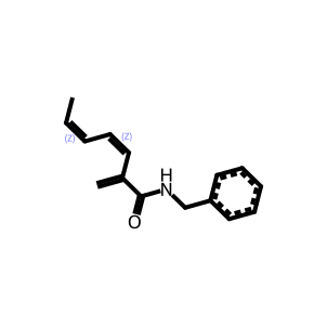 C=C(/C=C\C=C/C)C(=O)NCc1ccccc1